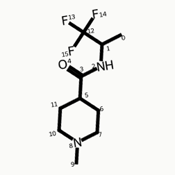 CC(NC(=O)C1CCN(C)CC1)C(F)(F)F